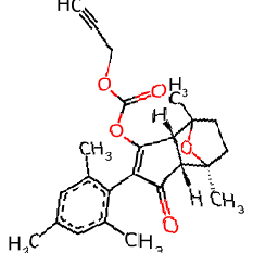 C#CCOC(=O)OC1=C(c2c(C)cc(C)cc2C)C(=O)[C@@H]2[C@H]1C1(C)CC[C@]2(C)O1